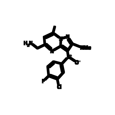 CNc1nn2c(C)cc(CN)nc2c1[S+]([O-])c1ccc(F)c(Cl)c1